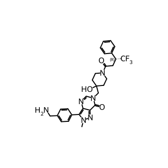 Cn1nc2c(=O)n(CC3(O)CCN(C(=O)C[C@H](c4ccccc4)C(F)(F)F)CC3)cnc2c1-c1ccc(CN)cc1